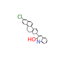 Oc1nc2ccccc2cc1C1C=CC2=C(CCc3c2ccc2cc(Cl)ccc32)C1